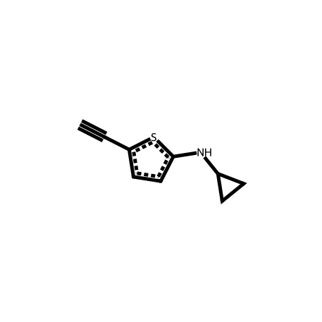 C#Cc1ccc(NC2CC2)s1